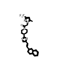 Cc1cc(C(F)(F)F)nn1CC(=O)N1CCC(c2nc(C=Cc3ccc4ccccc4c3)cs2)CC1